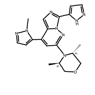 C[C@@H]1COC[C@@H](C)N1c1cc(-c2ccnn2C)c2cnc(-c3ccn[nH]3)n2n1